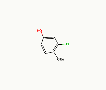 CC(C)COc1ccc(O)cc1Cl